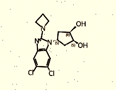 O[C@@H]1C[C@@H](n2c(N3CCC3)nc3cc(Cl)c(Cl)cc32)C[C@@H]1O